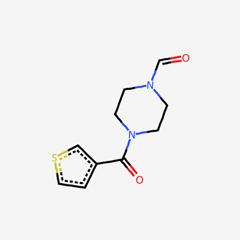 O=CN1CCN(C(=O)c2ccsc2)CC1